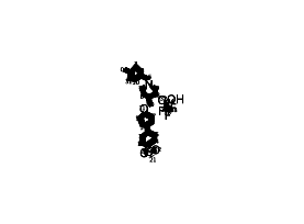 Cc1ccc(CN2CCC(COc3ccc(-c4ccc(S(C)(=O)=O)cc4)cc3)CC2)cc1.O=C(O)C(F)(F)F